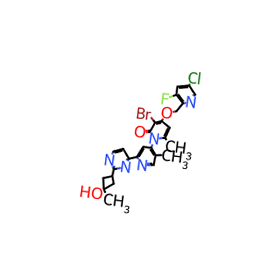 Cc1cnc(-c2ccnc(C3CC(C)(O)C3)n2)cc1-n1c(C)cc(OCc2ncc(Cl)cc2F)c(Br)c1=O